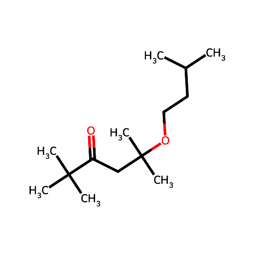 CC(C)CCOC(C)(C)CC(=O)C(C)(C)C